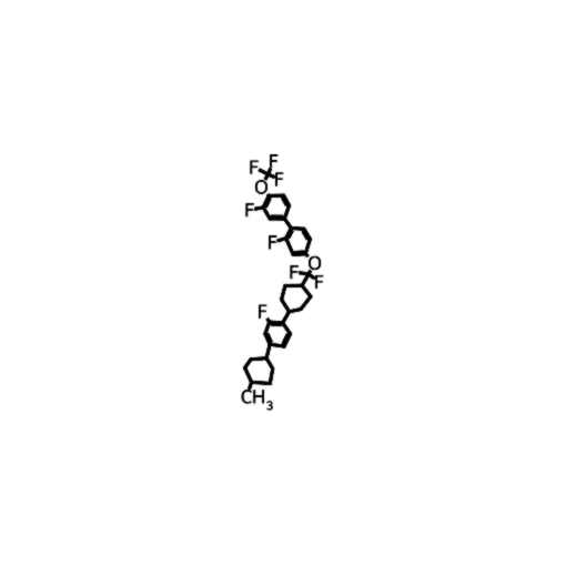 CC1CCC(c2ccc(C3CCC(C(F)(F)Oc4ccc(-c5ccc(OC(F)(F)F)c(F)c5)c(F)c4)CC3)c(F)c2)CC1